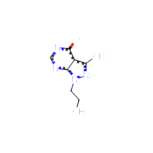 CCCn1[nH]c(C)c2c(=O)ncnc1-2